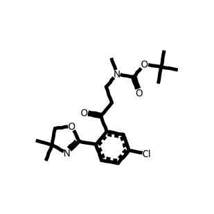 CN(CCC(=O)c1cc(Cl)ccc1C1=NC(C)(C)CO1)C(=O)OC(C)(C)C